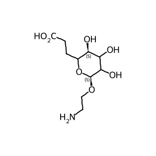 NCCO[C@H]1OC(CCC(=O)O)[C@@H](O)C(O)C1O